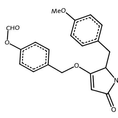 COc1ccc(CC2NC(=O)C=C2OCc2ccc(OC=O)cc2)cc1